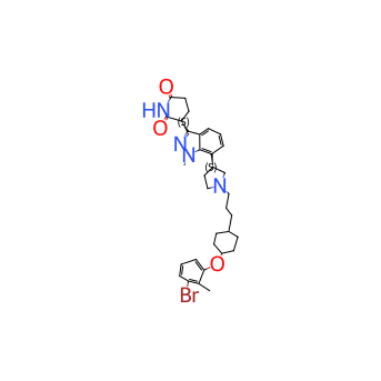 Cc1c(Br)cccc1OC1CCC(CCCN2CC[C@@H](c3cccc4c([C@@H]5CCC(=O)NC5=O)nn(C)c34)C2)CC1